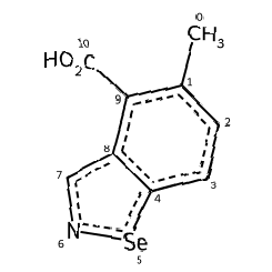 Cc1ccc2[se]ncc2c1C(=O)O